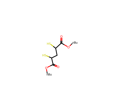 CCCCOC(=O)C(S)CC(S)C(=O)OCCCC